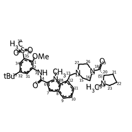 COc1c(NC(=O)c2cc3cccc(CN4CCN(C(=O)[C@@H]5CCCN5C)CC4)c3n2C)cc(C(C)(C)C)cc1S(C)(=O)=O